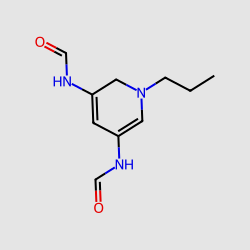 CCCN1C=C(NC=O)C=C(NC=O)C1